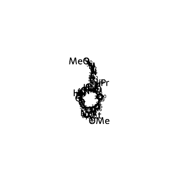 CCn1c(-c2cnccc2COC)c2c3cc(ccc31)-c1cccc(c1)C[C@H](NC(=O)[C@H](C(C)C)N1CC[C@@H](CN=C=NCCOC)C1)C(=O)N1CCC[C@H](N1)C(=O)OCC(C)(C)C2